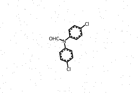 O=CN(c1ccc(Cl)cc1)c1ccc(Cl)cc1